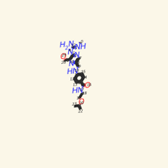 CN/C(N)=N\c1ncc(CNc2ccc(C(=O)NCCOC(C)C)cc2)nc1C=O